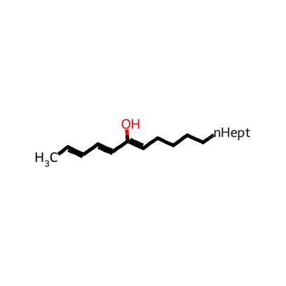 CC=CC=CC(O)=CCCCCCCCCCCC